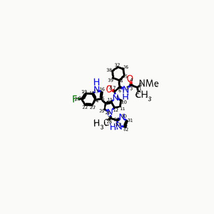 CNC(C)C(=O)NC(C(=O)N1CCC2C1=C(c1c[nH]c3cc(F)ccc13)CN2C(C)c1ncc[nH]1)C1CCCCC1